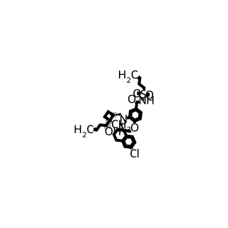 C=CCCS(=O)(=O)NC(=O)c1ccc2c(c1)N(C[C@@H]1CC[C@]1(C)[C@@H](O)CC=C)C[C@@]1(CCCc3cc(Cl)ccc31)CO2